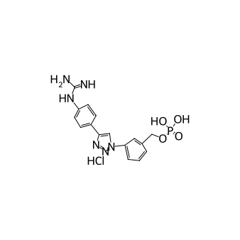 Cl.N=C(N)Nc1ccc(-c2cn(-c3cccc(COP(=O)(O)O)c3)nn2)cc1